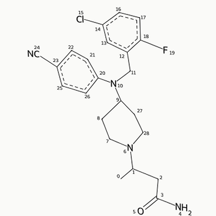 CC(CC(N)=O)N1CCC(N(Cc2cc(Cl)ccc2F)c2ccc(C#N)cc2)CC1